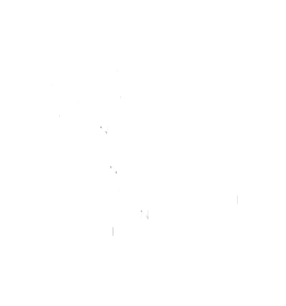 Cc1ccc2c(c1)cc(C(=O)N1CCN(C(c3ccccc3)c3ccccc3)CC1)n2C